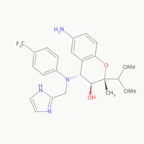 COC(OC)[C@@]1(C)Oc2ccc(N)cc2[C@@H](N(Cc2ncc[nH]2)c2ccc(C(F)(F)F)cc2)[C@@H]1O